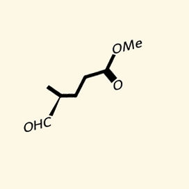 COC(=O)CC[C@H](C)C=O